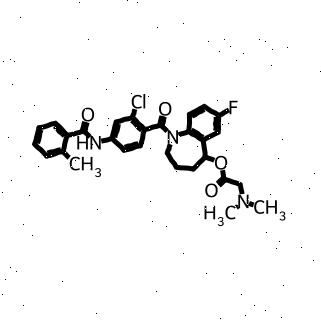 Cc1ccccc1C(=O)Nc1ccc(C(=O)N2CCCC(OC(=O)CN(C)C)c3cc(F)ccc32)c(Cl)c1